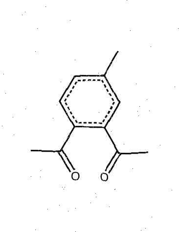 CC(=O)c1ccc(C)cc1C(C)=O